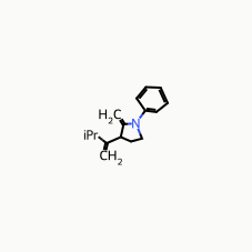 C=C(C(C)C)C1CCN(c2ccccc2)C1=C